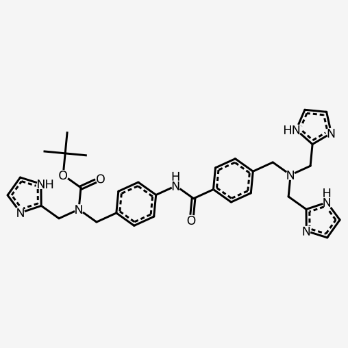 CC(C)(C)OC(=O)N(Cc1ccc(NC(=O)c2ccc(CN(Cc3ncc[nH]3)Cc3ncc[nH]3)cc2)cc1)Cc1ncc[nH]1